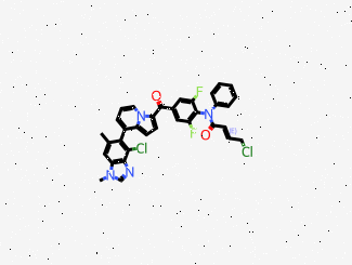 Cc1cc2c(ncn2C)c(Cl)c1-c1cccn2c(C(=O)c3cc(F)c(N(C(=O)/C=C/CCl)c4ccccc4)c(F)c3)ccc12